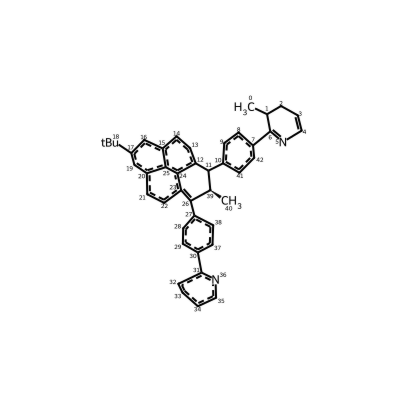 CC1CC=CN=C1c1ccc(C2c3ccc4cc(C(C)(C)C)cc5ccc(c3c45)=C(c3ccc(-c4ccccn4)cc3)[C@@H]2C)cc1